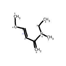 C=C(/C=C/OC)N(C)CC